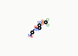 CN(C)C(=O)c1ccc(CNC(=O)c2cccc3cc(NS(=O)(=O)c4cc(Cl)cc(Cl)c4)ccc23)cc1